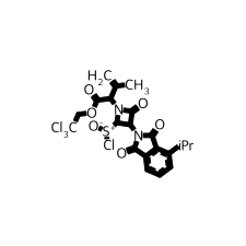 C=C(C)C(C(=O)OCC(Cl)(Cl)Cl)N1C(=O)C(N2C(=O)c3cccc(C(C)C)c3C2=O)C1[S+]([O-])Cl